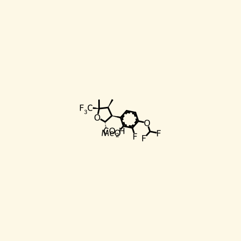 COc1c([C@H]2[C@H](C(=O)O)O[C@@](C)(C(F)(F)F)[C@H]2C)ccc(OC(F)F)c1F